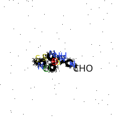 O=CCN1CCC(c2csc(Nc3ncc(Sc4cc(Cl)nc5ccsc45)cc3Oc3ccccc3)n2)CC1